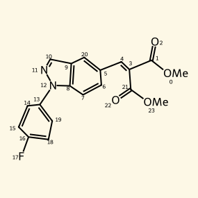 COC(=O)C(=Cc1ccc2c(cnn2-c2ccc(F)cc2)c1)C(=O)OC